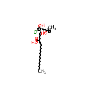 CCCCCCCCCCCCCCCCCC#CC(CCC=CC[C@@H]1[C@@H](C=CC[C@H](O)C2(CC)CCC2)[C@H](O)C[C@H]1Cl)C(=O)O